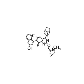 CN1CC2CC2[C@H]1COc1nc(N2CC3CCC(C2)N3)c2cc(Cl)c(-c3cc(O)cc4ccccc34)c(F)c2n1